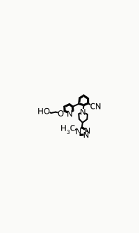 Cn1cnnc1C1CCN(c2c(C#N)cccc2-c2ccc(OCCO)nc2)CC1